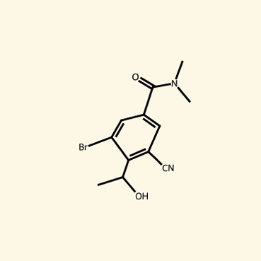 CC(O)c1c(Br)cc(C(=O)N(C)C)cc1C#N